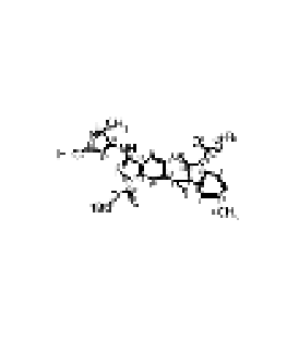 Cc1ccc2c(c1)[C@]1(C[C@H]1c1ccc3c(Nc4cn(C)nc4C)nn(C(=O)OC(C)(C)C)c3c1)C(=O)N2C(=O)OC(C)(C)C